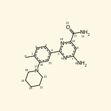 Cc1ccc(-c2nc(N)cc(C(N)=O)n2)cc1N1CCCCC1